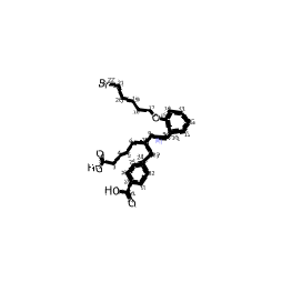 O=C(O)CCCCC(/C=C/c1ccccc1OCCCCCBr)Cc1ccc(C(=O)O)cc1